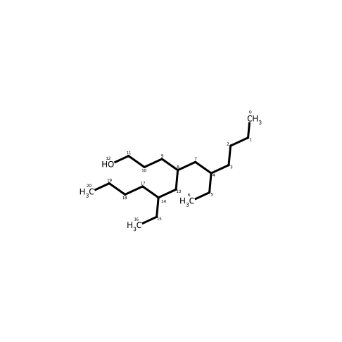 CCCCC(CC)CC(CCCO)CC(CC)CCCC